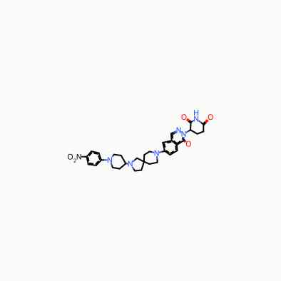 O=C1CCC(n2ncc3cc(N4CCC5(CC4)CCN(C4CCN(c6ccc([N+](=O)[O-])cc6)CC4)C5)ccc3c2=O)C(=O)N1